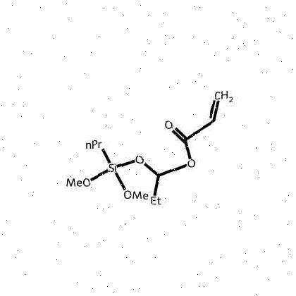 C=CC(=O)OC(CC)O[Si](CCC)(OC)OC